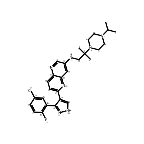 CC(C)N1CCN(C(C)(C)CNc2cnc3ccc(-c4c[nH]nc4-c4cc(Cl)ccc4F)nc3c2)CC1